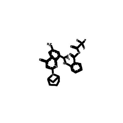 Cc1cc(C(C)Nc2ccccc2C(=O)OC(=O)C(F)(F)F)c2oc(N3C4CCCC3C4)cc(=O)c2c1